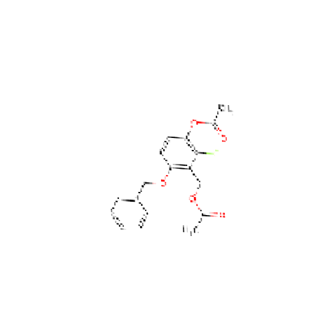 CC(=O)OCc1c(OCc2ccccc2)ccc(OC(C)=O)c1F